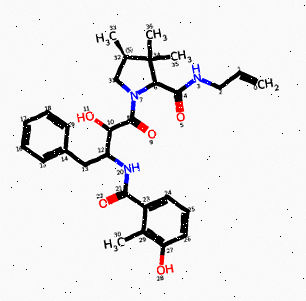 C=CCNC(=O)C1N(C(=O)C(O)C(Cc2ccccc2)NC(=O)c2cccc(O)c2C)C[C@@H](C)C1(C)C